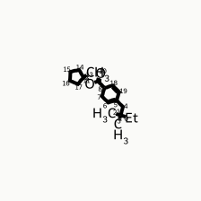 CCC(C)(C)CC1=CCC(C(=O)OC2(C)CCCC2)C=C1